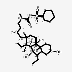 CC[C@@H]1C2C[C@H](O)CCC2(C)[C@H]2CCC3(C)[C@@H]([C@H](C)CCN(C)C(=O)NS(=O)(=O)C4CCCCC4)CC[C@H]3[C@@H]2[C@@H]1O